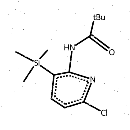 CC(C)(C)C(=O)Nc1nc(Cl)ccc1[Si](C)(C)C